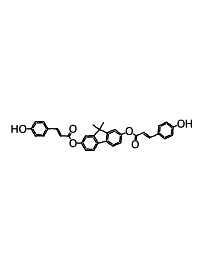 CC1(C)c2cc(OC(=O)C=Cc3ccc(O)cc3)ccc2-c2ccc(OC(=O)C=Cc3ccc(O)cc3)cc21